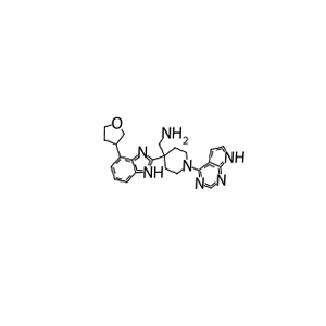 NCC1(c2nc3c(C4CCOC4)cccc3[nH]2)CCN(c2ncnc3[nH]ccc23)CC1